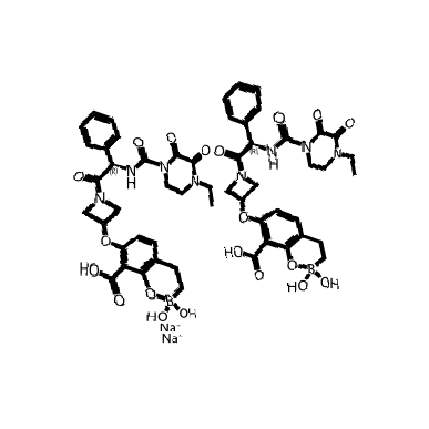 CCN1CCN(C(=O)N[C@@H](C(=O)N2CC(Oc3ccc4c(c3C(=O)O)O[B-](O)(O)CC4)C2)c2ccccc2)C(=O)C1=O.CCN1CCN(C(=O)N[C@@H](C(=O)N2CC(Oc3ccc4c(c3C(=O)O)O[B-](O)(O)CC4)C2)c2ccccc2)C(=O)C1=O.[Na+].[Na+]